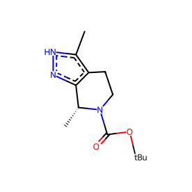 Cc1[nH]nc2c1CCN(C(=O)OC(C)(C)C)[C@@H]2C